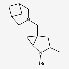 CC1CC2(CN3CC4CC(C4)C3)CC2N1C(C)(C)C